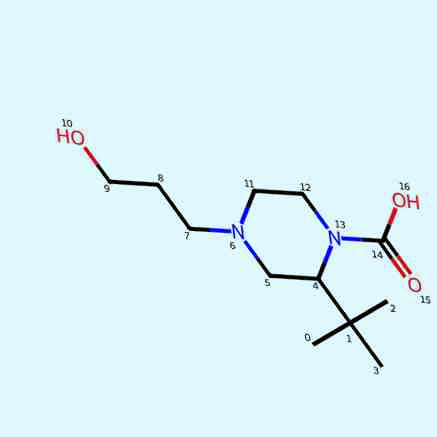 CC(C)(C)C1CN(CCCO)CCN1C(=O)O